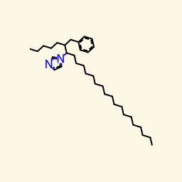 CCCCCCCCCCCCCCCCCCC(C(CCCCC)Cc1ccccc1)n1ccnc1